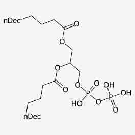 CCCCCCCCCCCCCC(=O)OCC(COP(=O)(O)OP(=O)(O)O)OC(=O)CCCCCCCCCCCCC